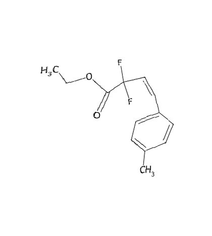 CCOC(=O)C(F)(F)/C=C\c1ccc(C)cc1